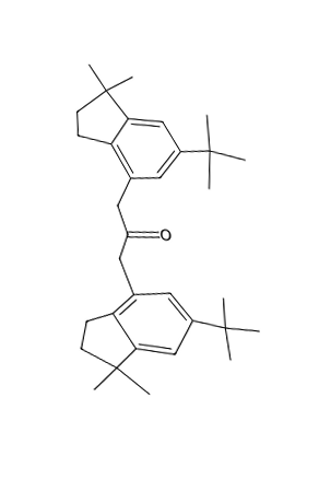 CC(C)(C)c1cc(CC(=O)Cc2cc(C(C)(C)C)cc3c2CCC3(C)C)c2c(c1)C(C)(C)CC2